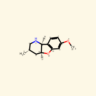 C[C@@H]1CN[C@H]2c3ccc(OC(F)(F)F)cc3O[C@H]2C1